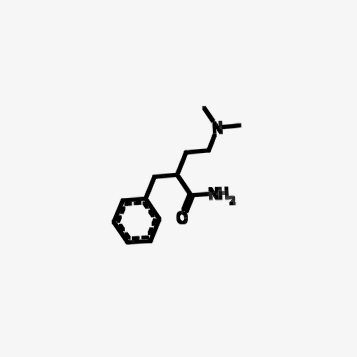 CN(C)CCC(Cc1ccccc1)C(N)=O